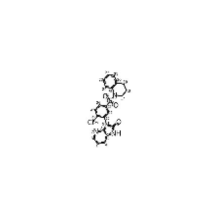 O=c1[nH]c2cccnc2n1-c1cc(S(=O)(=O)N2CCCc3ccccc32)ccc1Cl